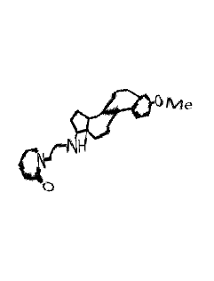 COc1ccc2c(c1)CCC1C2CC[C@@]2(C)C1CC[C@@H]2NCCn1ccccc1=O